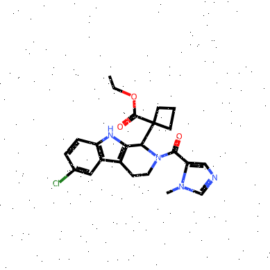 CCOC(=O)C1(C2c3[nH]c4ccc(Cl)cc4c3CCN2C(=O)c2cncn2C)CCC1